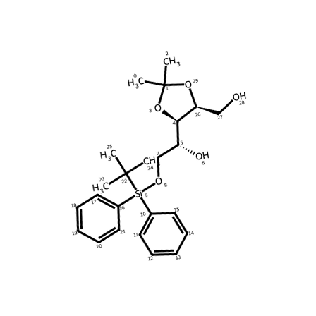 CC1(C)O[C@H]([C@H](O)CO[Si](c2ccccc2)(c2ccccc2)C(C)(C)C)[C@H](CO)O1